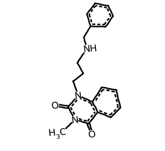 Cn1c(=O)c2ccccc2n(CCCNCc2ccccc2)c1=O